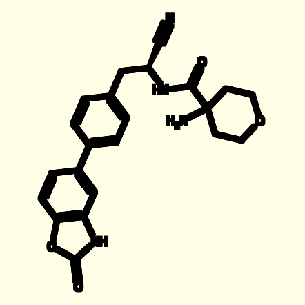 N#C[C@H](Cc1ccc(-c2ccc3oc(=O)[nH]c3c2)cc1)NC(=O)C1(N)CCOCC1